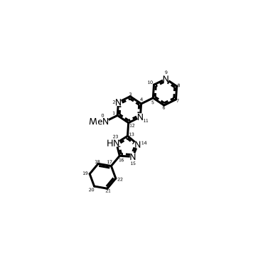 CNc1ncc(-c2cccnc2)nc1-c1nnc(C2=CCCC=C2)[nH]1